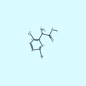 COC(=O)C(N)c1nc(Br)ccc1Cl